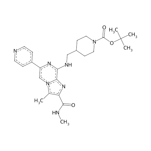 CNC(=O)c1nc2c(NCC3CCN(C(=O)OC(C)(C)C)CC3)nc(-c3ccncc3)cn2c1C